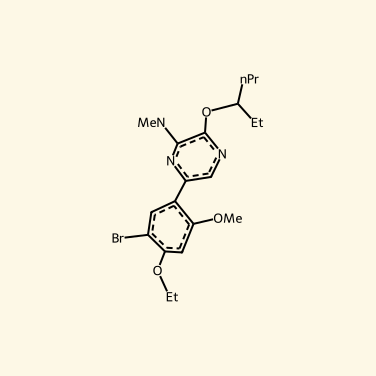 CCCC(CC)Oc1ncc(-c2cc(Br)c(OCC)cc2OC)nc1NC